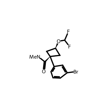 CNC(=O)[C@]1(c2cccc(Br)c2)C[C@H](OC(F)F)C1